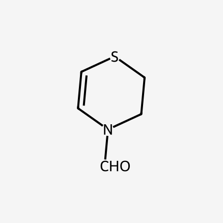 O=CN1C=CSCC1